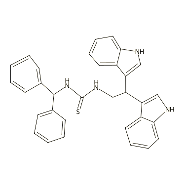 S=C(NCC(c1c[nH]c2ccccc12)c1c[nH]c2ccccc12)NC(c1ccccc1)c1ccccc1